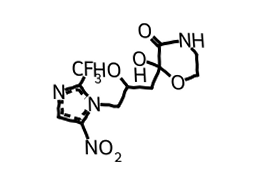 O=C1NCCOC1(O)CC(O)Cn1c([N+](=O)[O-])cnc1C(F)(F)F